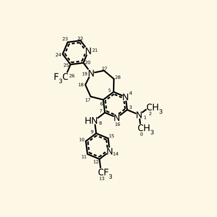 CN(C)c1nc2c(c(Nc3ccc(C(F)(F)F)nc3)n1)CCN(c1ncccc1C(F)(F)F)CC2